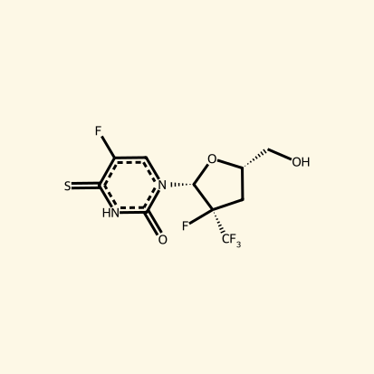 O=c1[nH]c(=S)c(F)cn1[C@@H]1O[C@H](CO)C[C@]1(F)C(F)(F)F